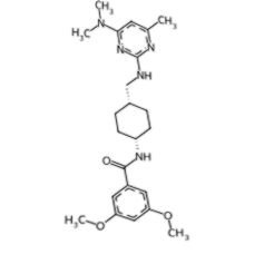 COc1cc(OC)cc(C(=O)N[C@H]2CC[C@@H](CNc3nc(C)cc(N(C)C)n3)CC2)c1